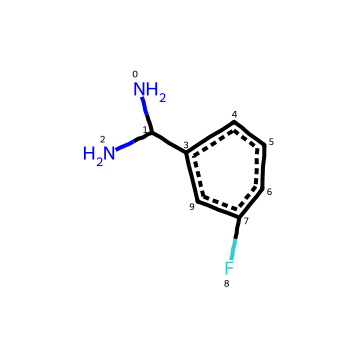 NC(N)c1cccc(F)c1